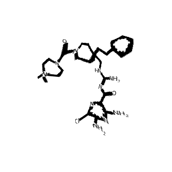 C[N+]1(C)CCN(C(=O)N2CCC(CCc3ccccc3)(CN/C(N)=N/C(=O)c3nc(Cl)c(N)nc3N)CC2)CC1